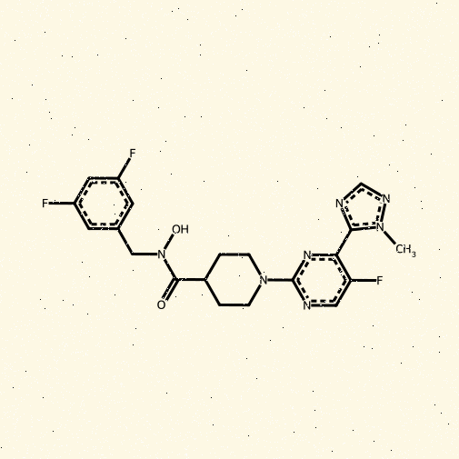 Cn1ncnc1-c1nc(N2CCC(C(=O)N(O)Cc3cc(F)cc(F)c3)CC2)ncc1F